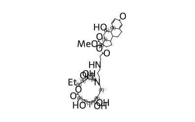 CC[C@H]1OC(=O)[C@H](C)[C@@H](O)[C@H](C)[C@@H](O)[C@](C)(O)C[C@@H](C)CN(CCCNCCC(=O)O[C@]2(C(=O)OC)CCC3C4CCC5=CC(=O)C=C[C@]5(C)C4[C@@H](O)C[C@@]32C)[C@H](C)[C@@H](O)[C@]1(C)O